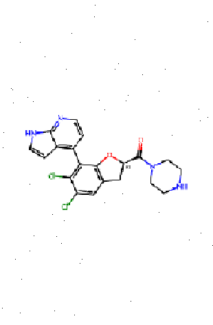 O=C([C@H]1Cc2cc(Cl)c(Cl)c(-c3ccnc4[nH]ccc34)c2O1)N1CCNCC1